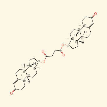 C[C@]12CC[C@H]3[C@@H](CCC4=CC(=O)CC[C@@]43C)[C@@H]1CC[C@@H]2OC(=O)CCC(=O)O[C@H]1CC[C@H]2[C@@H]3CCC4=CC(=O)CC[C@]4(C)[C@H]3CC[C@]12C